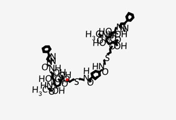 CC(=O)N[C@H]1[C@H]([C@H](O)[C@H](O)Cn2cc(-c3ccccc3)nn2)O[C@@](OCCCSCCNC(=O)c2ccc(C(=O)NCCSCCCO[C@]3(C(=O)O)C[C@H](O)[C@@H](NC(C)=O)[C@H]([C@H](O)[C@H](O)CNC(=O)n4cc(-c5ccccc5)nn4)O3)cc2)(C(=O)O)C[C@H]1O